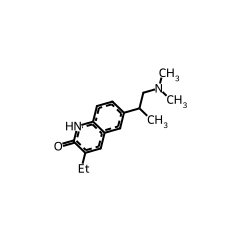 CCc1cc2cc(C(C)CN(C)C)ccc2[nH]c1=O